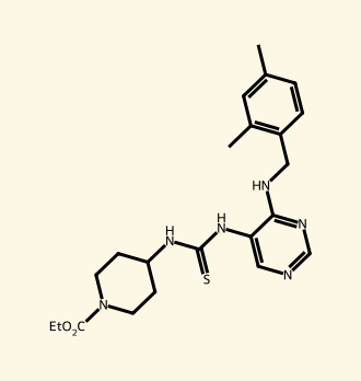 CCOC(=O)N1CCC(NC(=S)Nc2cncnc2NCc2ccc(C)cc2C)CC1